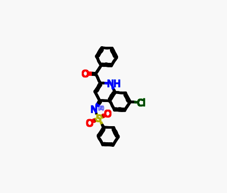 O=C(c1ccccc1)c1c/c(=N/S(=O)(=O)c2ccccc2)c2ccc(Cl)cc2[nH]1